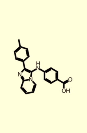 Cc1ccc(-c2nc3ccccn3c2Nc2ccc(C(=O)O)cc2)cc1